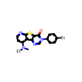 CCc1ccc(-n2cnc3c(sc4nccc(N(C)CC)c43)c2=O)cc1